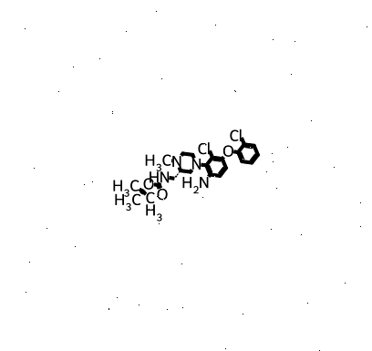 CN1CCN(c2c(N)ccc(Oc3ccccc3Cl)c2Cl)C[C@@H]1CNC(=O)OC(C)(C)C